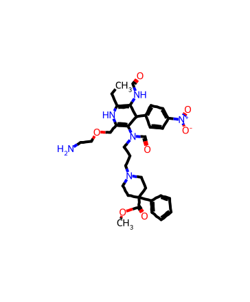 CCC1=C(NC=O)C(c2ccc([N+](=O)[O-])cc2)C(N(C=O)CCCN2CCC(C(=O)OC)(c3ccccc3)CC2)=C(COCCN)N1